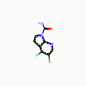 NC(=O)n1c[c]c2c(F)c(Br)cnc21